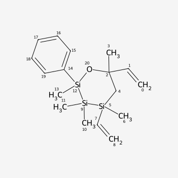 C=CC1(C)C[Si](C)(C=C)[Si](C)(C)[Si](C)(c2ccccc2)O1